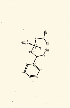 CCC(CC)C[C@](C)(NC(CO)c1ccccc1)C(=O)O